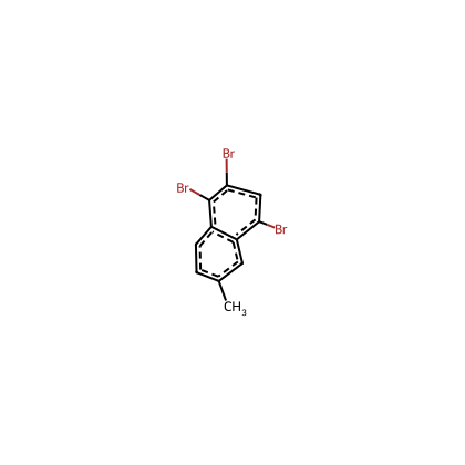 Cc1ccc2c(Br)c(Br)cc(Br)c2c1